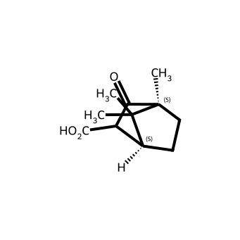 CC1(C)[C@H]2CC[C@]1(C)C(=O)C2C(=O)O